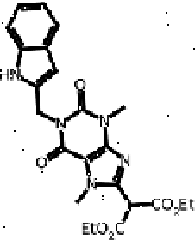 CCOC(=O)C(C(=O)OCC)c1nc2c(c(=O)n(Cc3cc4ccccc4[nH]3)c(=O)n2C)n1C